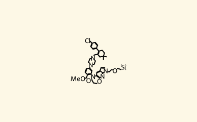 COC(=O)c1ccc(N2CCN(CC3=C(c4ccc(Cl)cc4)CCC(C)(C)C3)CC2)cc1N1CCCOc2nc3c(ccn3CCOCC[Si](C)(C)C)cc21